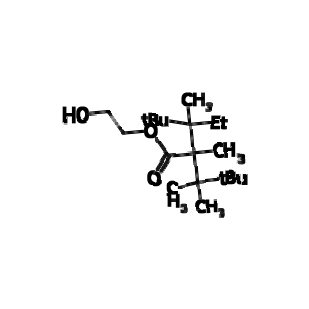 CCC(C)(C(C)(C)C)C(C)(C(=O)OCCO)C(C)(C)C(C)(C)C